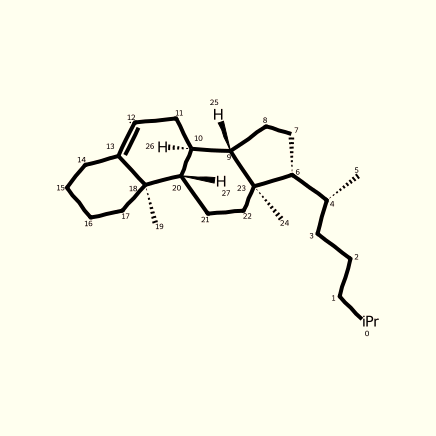 CC(C)CCC[C@@H](C)[C@H]1CC[C@H]2[C@@H]3C[C]=C4CCCC[C@]4(C)[C@H]3CC[C@]12C